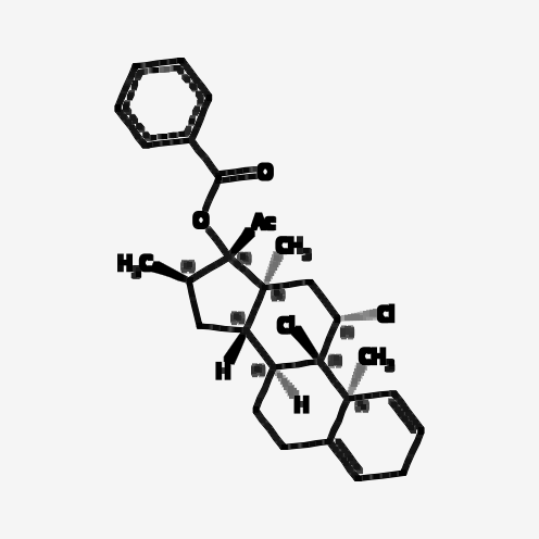 CC(=O)[C@]1(OC(=O)c2ccccc2)[C@H](C)C[C@H]2[C@@H]3CCC4=CCC=C[C@]4(C)[C@@]3(Cl)[C@@H](Cl)C[C@@]21C